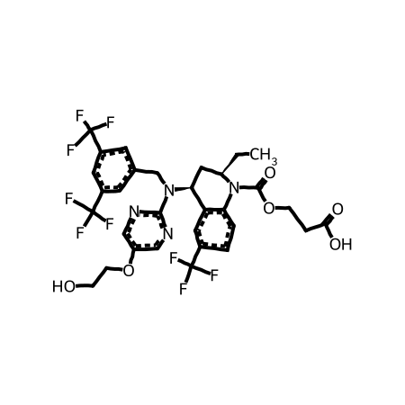 CC[C@@H]1C[C@H](N(Cc2cc(C(F)(F)F)cc(C(F)(F)F)c2)c2ncc(OCCO)cn2)c2cc(C(F)(F)F)ccc2N1C(=O)OCCC(=O)O